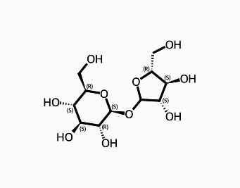 OC[C@H]1O[C@@H](OC2O[C@H](CO)[C@@H](O)[C@@H]2O)[C@H](O)[C@@H](O)[C@@H]1O